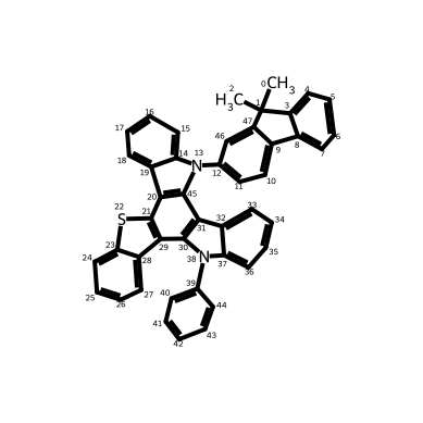 CC1(C)c2ccccc2-c2ccc(-n3c4ccccc4c4c5sc6ccccc6c5c5c(c6ccccc6n5-c5ccccc5)c43)cc21